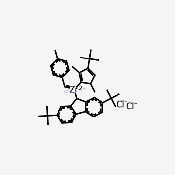 CC1=[C](/[Zr+2](=[CH]\c2ccc(C)cc2)[CH]2c3cc(C(C)(C)C)ccc3-c3ccc(C(C)(C)C)cc32)C(C)C=C1C(C)(C)C.[Cl-].[Cl-]